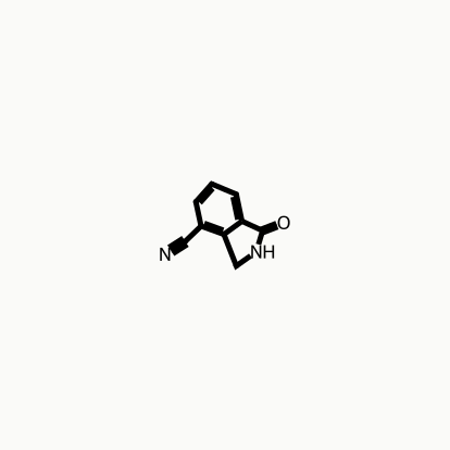 N#Cc1cccc2c1CNC2=O